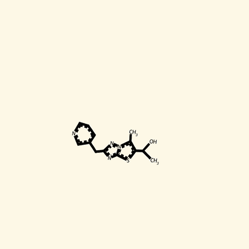 Cc1c(C(C)O)sc2nc(Cc3cccnc3)nn12